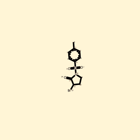 Cc1ccc(S(=O)(=O)N2CCC(Br)C2=O)cc1